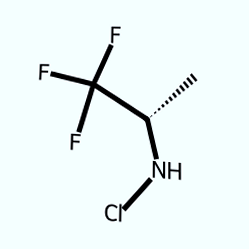 C[C@H](NCl)C(F)(F)F